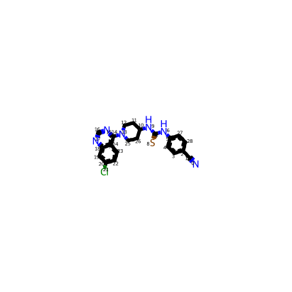 N#Cc1ccc(NC(=S)NC2CCN(c3ncnc4cc(Cl)ccc34)CC2)cc1